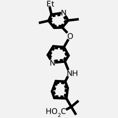 CCc1nc(C)c(Oc2ccnc(Nc3cccc(C(C)(C)C(=O)O)c3)c2)cc1C